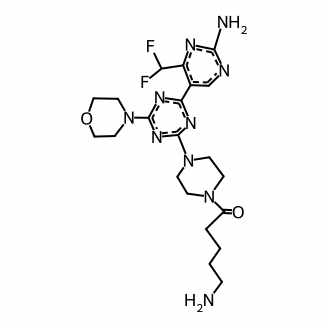 NCCCCC(=O)N1CCN(c2nc(-c3cnc(N)nc3C(F)F)nc(N3CCOCC3)n2)CC1